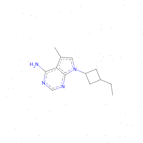 CCC1CC(n2cc(C)c3c(N)ncnc32)C1